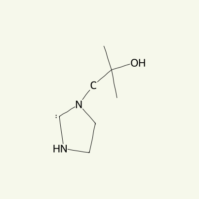 CC(C)(O)CN1[C]NCC1